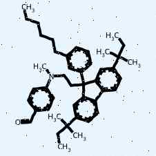 CCCCCCc1cccc(C2(CCN(C)c3ccc(C=O)cc3)c3cc(C(C)(C)CC)ccc3-c3ccc(C(C)(C)CC)cc32)c1